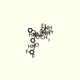 CCNC(=O)[C@@H](NC(=O)[C@H](C)NC[C@H](Cc1ccccc1)NC(=O)c1cccc(C(=O)NCc2cc(F)cc(F)c2)c1)C(C)C